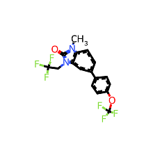 Cn1c(=O)n(CC(F)(F)F)c2cc(-c3ccc(OC(F)(F)F)cc3)ccc21